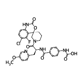 COc1ccc(C[C@H](NC(=O)c2ccc(NC(=O)O)cc2)C(=O)N2CCC[C@@]3(C2)OC(=O)Nc2ccc(Cl)c(F)c23)nc1